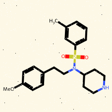 COc1ccc(CCN(C2CCNCC2)S(=O)(=O)c2cccc(C)c2)cc1